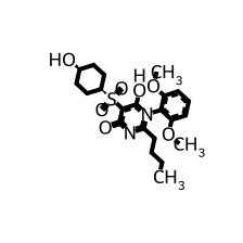 CCCCc1nc(=O)c(S(=O)(=O)[C@H]2CC[C@H](O)CC2)c(O)n1-c1c(OC)cccc1OC